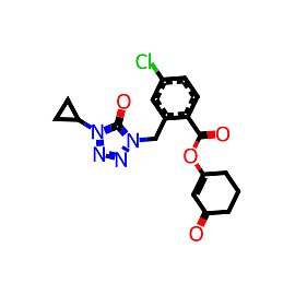 O=C1C=C(OC(=O)c2ccc(Cl)cc2Cn2nnn(C3CC3)c2=O)CCC1